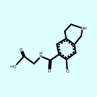 O=C(O)CNC(=O)c1cc2c(cc1Cl)CNCC2